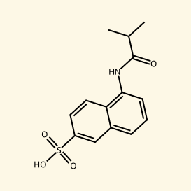 CC(C)C(=O)Nc1cccc2cc(S(=O)(=O)O)ccc12